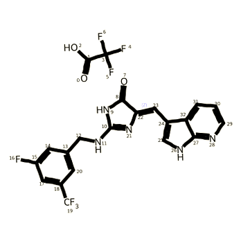 O=C(O)C(F)(F)F.O=C1NC(NCc2cc(F)cc(C(F)(F)F)c2)=N/C1=C\c1c[nH]c2ncccc12